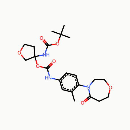 Cc1cc(NC(=O)OC2(NC(=O)OC(C)(C)C)CCOC2)ccc1N1CCOCCC1=O